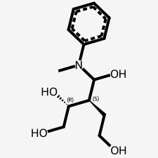 CN(c1ccccc1)C(O)[C@@H](CCO)[C@@H](O)CO